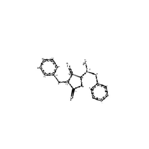 CN(Cc1ccccc1)C1CC(=O)N(Cc2ccccc2)C1=O